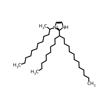 CCCCCCCCCCCCC(CCCCCCCCC)c1[nH]cc[n+]1C(C)CCCCCCCCCC